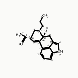 CCCN1C[C@@H](C(N)=O)C=C2c3cccc4[nH]cc(c34)C[C@H]21